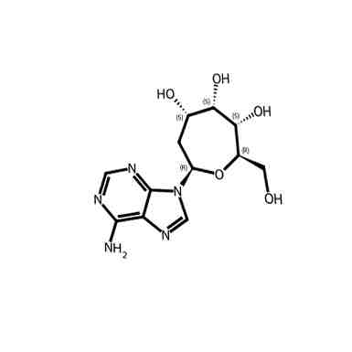 Nc1ncnc2c1ncn2[C@H]1C[C@H](O)[C@H](O)[C@H](O)[C@@H](CO)O1